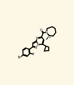 C[C@@H]1CCCCCN1C(=O)c1cc(C2CCC2)n2nc(-c3ccc(Br)cc3F)cc2n1